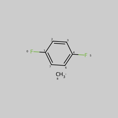 Fc1[c]cc(F)cc1.[CH3]